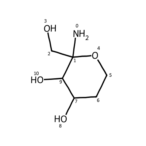 NC1(CO)OCCC(O)C1O